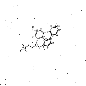 C[Si](C)(C)CCOCn1cnc(-c2ccncc2)c1-c1ccc(F)cc1